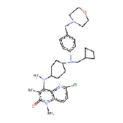 CN(c1c(C#N)c(=O)n(C)c2ccc(Cl)nc12)C1CCC(N(CC2CCC2)c2ccc(CN3CCOCC3)cc2)CC1